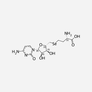 Nc1ccn([C@@H]2O[C@H](C[Se]CC[C@H](N)C(=O)O)[C@@H](O)[C@H]2O)c(=O)n1